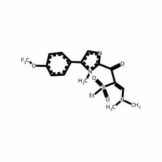 CCS(=O)(=O)C(=CN(C)C)C(=O)c1ncc(-c2ccc(OC(F)(F)F)cc2)n1C